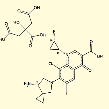 N[C@@H]1CN(c2c(F)cc3c(=O)c(C(=O)O)cn([C@@H]4C[C@@H]4F)c3c2Cl)CC12CC2.O=C(O)CC(O)(CC(=O)O)C(=O)O